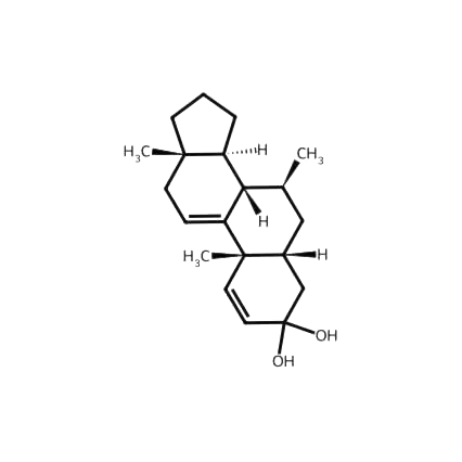 C[C@H]1C[C@@H]2CC(O)(O)C=C[C@]2(C)C2=CC[C@]3(C)CCC[C@H]3[C@@H]21